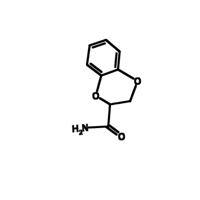 NC(=O)C1COc2ccccc2O1